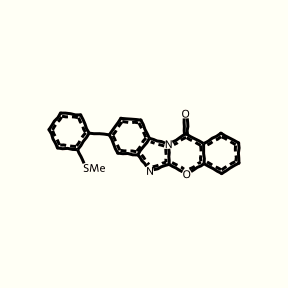 CSc1ccccc1-c1ccc2c(c1)nc1oc3ccccc3c(=O)n12